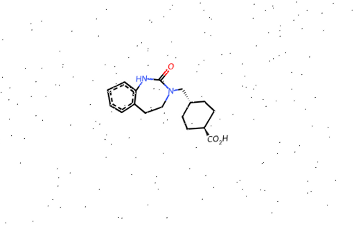 O=C1Nc2ccccc2CCN1C[C@H]1CC[C@H](C(=O)O)CC1